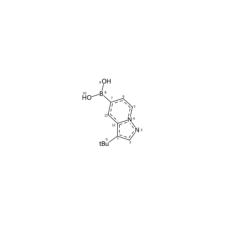 CC(C)(C)c1cnn2ccc(B(O)O)cc12